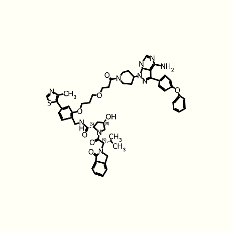 Cc1ncsc1-c1ccc(CNC(=O)[C@@H]2C[C@@H](O)CN2C(=O)[C@H](C(C)C)N2Cc3ccccc3C2=O)c(OCCCOCCC(=O)N2CCC(n3nc(-c4ccc(Oc5ccccc5)cc4)c4c(N)ncnc43)CC2)c1